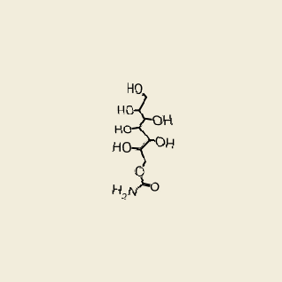 NC(=O)OCC(O)C(O)C(O)C(O)C(O)CO